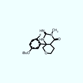 CC(C)COc1ccc(F)c(C23COCCC2C(=O)N(C)C(=N)N3)c1